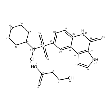 CCCC(=O)O.CN(C1CCOCC1)S(=O)(=O)c1ccc2[nH]c(=O)c3[nH]ccc3c2c1